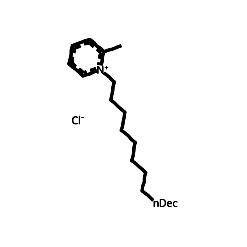 CCCCCCCCCCCCCCCCCC[n+]1ccccc1C.[Cl-]